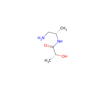 C[C@@H](CN)NC(=O)[C@@H](C)O